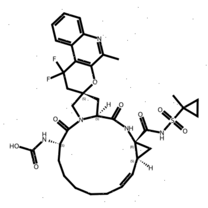 Cc1nc2ccccc2c2c1O[C@@]1(C[C@H]3C(=O)N[C@]4(C(=O)NS(=O)(=O)C5(C)CC5)C[C@H]4C=CCCCCC[C@H](NC(=O)O)C(=O)N3C1)CC2(F)F